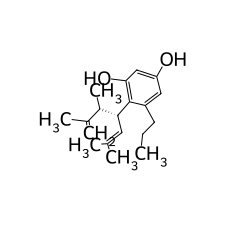 C=C(C)C(C)[C@@H](C=C(C)C)c1c(O)cc(O)cc1CCC